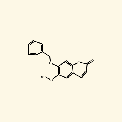 CCCOc1cc2ccc(=O)oc2cc1OCc1ccccc1